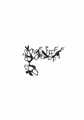 CC1(C)OCC([C@H]2O[C@@H]3OC(C)(C)OC3[C@H]2OS(=O)(=O)C(F)(F)C(F)(F)OC(F)(F)C(F)(F)I)O1